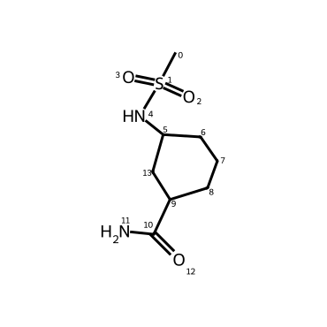 CS(=O)(=O)NC1CCCC(C(N)=O)C1